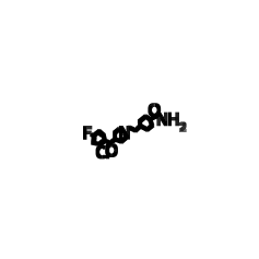 NC(=O)C1CCC(CCN2CCC(C(=O)c3ccc(F)cc3Cl)CC2)CC1